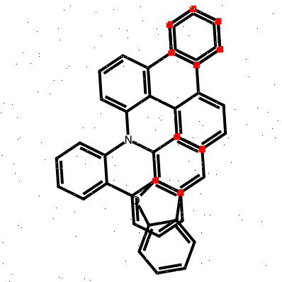 c1ccc(-c2ccccc2-c2c(-c3ccccc3)cccc2N(c2ccccc2-c2ccccc2)c2cccc3c2oc2ccccc23)cc1